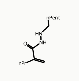 C=C(CCC)C(=O)NNCCCCCC